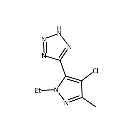 CCn1nc(C)c(Cl)c1-c1nn[nH]n1